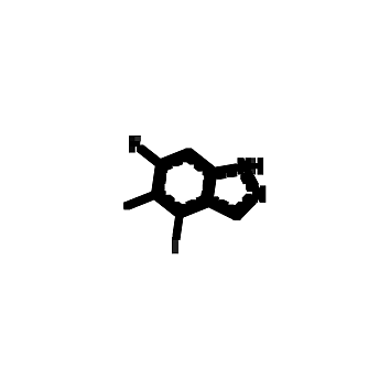 Cc1c(F)cc2[nH]ncc2c1I